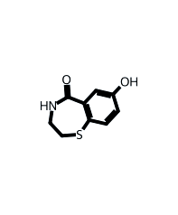 O=C1NCCSc2ccc(O)cc21